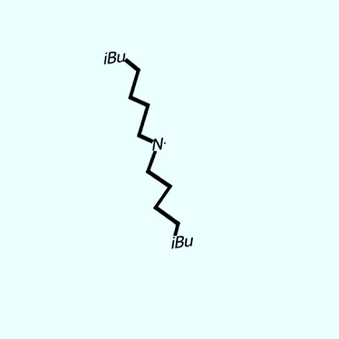 CCC(C)CCCC[N]CCCCC(C)CC